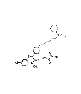 CN1C(=O)C(c2ccc(OCCCCCN(C)C3CCCCC3)cc2)Sc2cc(Cl)ccc21.O=C(O)C(=O)O